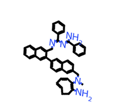 CN(Cc1ccc2cc(-c3cc4ccccc4cc3C/N=C(\N=C(/N)c3ccccc3)c3ccccc3)ccc2c1)C1=C(\N)CC/C=C/C=C\1